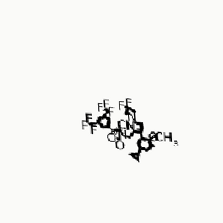 COc1ccc(C2CC2)cc1-c1ccc(N2CC(F)(F)C2)nc1CN1C(=O)O[C@H](c2cc(C(F)(F)F)cc(C(F)(F)F)c2)[C@@H]1C